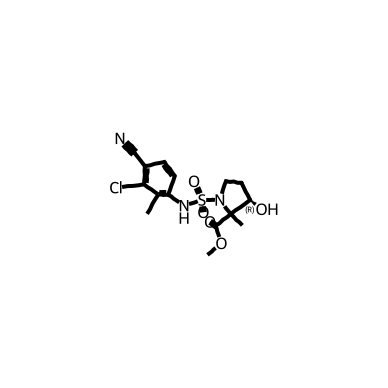 COC(=O)C1(C)[C@H](O)CCN1S(=O)(=O)Nc1ccc(C#N)c(Cl)c1C